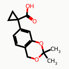 CC1(C)OCc2ccc(C3(C(=O)O)CC3)cc2O1